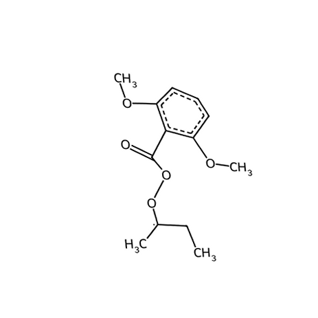 CC[C](C)OOC(=O)c1c(OC)cccc1OC